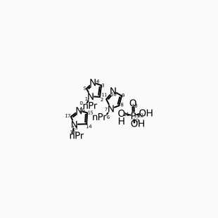 CCCn1ccnc1.CCCn1ccnc1.CCCn1ccnc1.O=P(O)(O)O